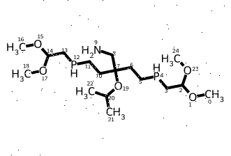 COC(CPCCC(CN)(CCPCC(OC)OC)OC(C)C)OC